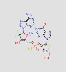 Nc1nc2c(ncn2[C@@H]2S[C@H](CO)[C@H](F)[C@H]2OP(=O)(S)OC[C@H]2OC(n3nnc4c(N)ncnc43)C(F)(F)[C@@H]2O)c(=O)[nH]1